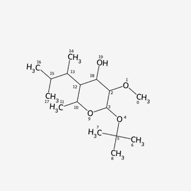 COC1C(OC(C)(C)C)OC(C)C(C(C)C(C)C)C1O